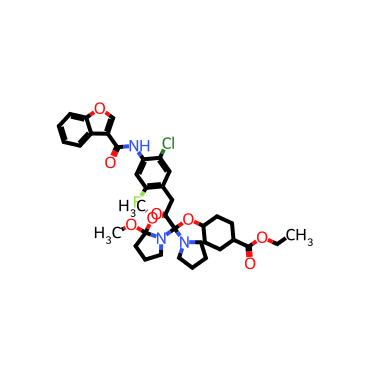 CCOC(=O)C1CCC(OC(C(=O)Cc2cc(Cl)c(NC(=O)c3coc4ccccc34)cc2F)(N2CCCC2)N2CCCC2(OC)OC)CC1